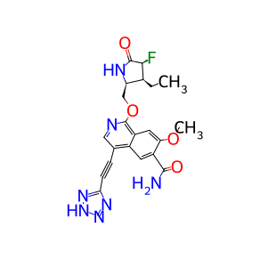 CC[C@@H]1[C@H](F)C(=O)N[C@@H]1COc1ncc(C#Cc2nn[nH]n2)c2cc(C(N)=O)c(OC)cc12